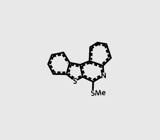 CSc1nc2ccccc2c2c1sc1ccccc12